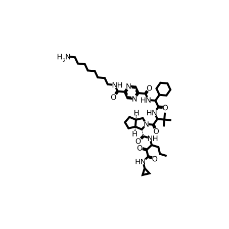 CCCC(NC(=O)[C@@H]1[C@H]2CCC[C@H]2CN1C(=O)C(NC(=O)C(NC(=O)c1cnc(C(=O)NCCCCCCCCN)cn1)C1CCCCC1)C(C)(C)C)C(=O)C(=O)NC1CC1